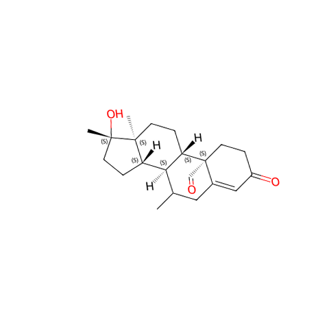 CC1CC2=CC(=O)CC[C@]2(C=O)[C@H]2CC[C@@]3(C)[C@@H](CC[C@]3(C)O)[C@H]12